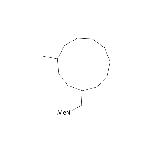 CNCC1CCCCCCCC(C)CC1